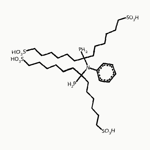 O=S(=O)(O)CCCCCCC(P)(CCCCCCS(=O)(=O)O)N(c1ccccc1)C(P)(CCCCCCS(=O)(=O)O)CCCCCCS(=O)(=O)O